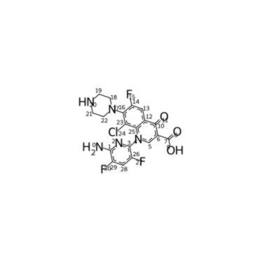 Nc1nc(-n2cc(C(=O)O)c(=O)c3cc(F)c(N4CCNCC4)c(Cl)c32)c(F)cc1F